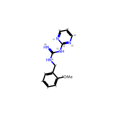 COc1ccccc1CNC(=N)Nc1ncccn1